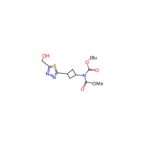 COC(=O)N(C(=O)OC(C)(C)C)C1CC(c2nnc(CO)s2)C1